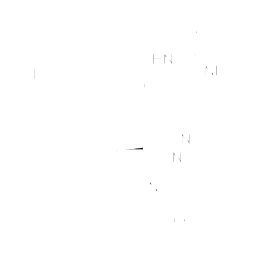 CCOC(=O)c1cn2nc(-c3c[nH]c(=O)[nH]c3=O)cc([C@H]3C[C@@H]3c3ccc(F)cc3)c2n1